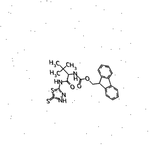 CC(C)(C)C(NC(=O)OCC1c2ccccc2-c2ccccc21)C(=O)Nc1n[nH]c(=S)s1